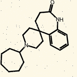 O=C1CCC2(CCN(C3CCCCCC3)CC2)c2ccccc2N1